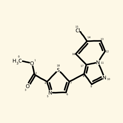 COC(=O)c1ncc(-c2cnn3ccc(Cl)cc23)s1